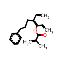 C=CC(CCCc1ccccc1)=C(C=C)OC(=O)C(=C)C